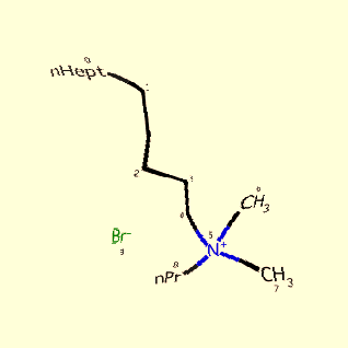 CCCCCCCCCCC[N+](C)(C)CCC.[Br-]